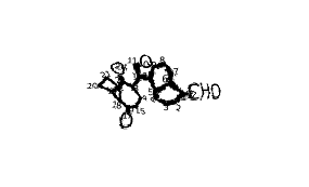 O=Cc1cccc2c1ccc1occ(C3CCC(=O)C4C5CCC54C3=O)c12